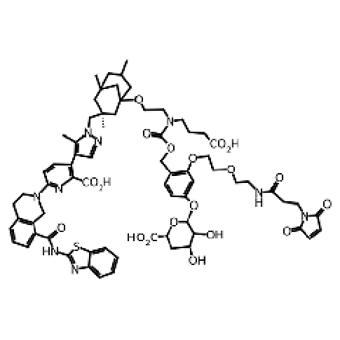 Cc1c(-c2ccc(N3CCc4cccc(C(=O)Nc5nc6ccccc6s5)c4C3)nc2C(=O)O)cnn1C[C@@]1(C)CC2(C)CC(C)CC(OCCN(CCCC(=O)O)C(=O)OCc3ccc(O[C@@H]4O[C@H](C(=O)O)C[C@H](O)C4O)cc3OCCOCCNC(=O)CCN3C(=O)C=CC3=O)(C2)C1